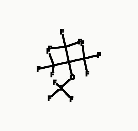 FC(F)(F)C(OS(F)(F)F)(C(F)(F)F)C(F)(F)F